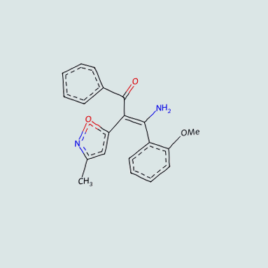 COc1ccccc1C(N)=C(C(=O)c1ccccc1)c1cc(C)no1